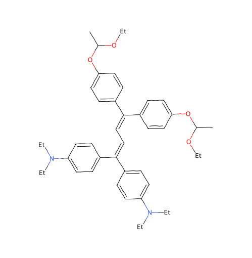 CCOC(C)Oc1ccc(C(=CC=C(c2ccc(N(CC)CC)cc2)c2ccc(N(CC)CC)cc2)c2ccc(OC(C)OCC)cc2)cc1